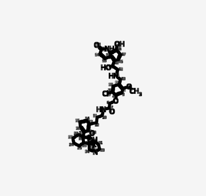 COc1cc(OCC(=O)NCCCc2cccc(C3(C(=O)O)CCCCC3C3CN4CCC3CC4)c2)c(Cl)cc1CNC[C@H](O)c1ccc(O)c2[nH]c(=O)ccc12